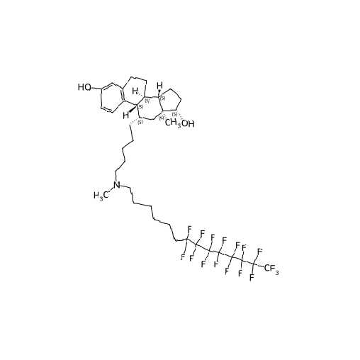 CN(CCCCCCC(F)(F)C(F)(F)C(F)(F)C(F)(F)C(F)(F)C(F)(F)C(F)(F)C(F)(F)F)CCCCC[C@H]1C[C@]2(C)[C@@H](O)CC[C@H]2[C@@H]2CCc3cc(O)ccc3[C@@H]12